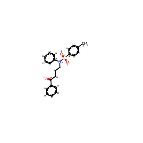 Cc1ccc(S(=O)(=O)N(CCCC(=O)c2ccccc2)c2ccccc2)cc1